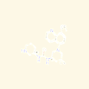 C[C@H]1C[C@@H](NC(=O)N[C@@H]2CCCNC2)CN(c2ccc(C(F)(F)F)c3ncccc23)C1